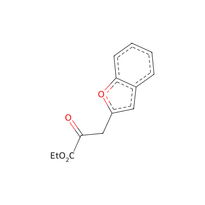 CCOC(=O)C(=O)Cc1cc2ccccc2o1